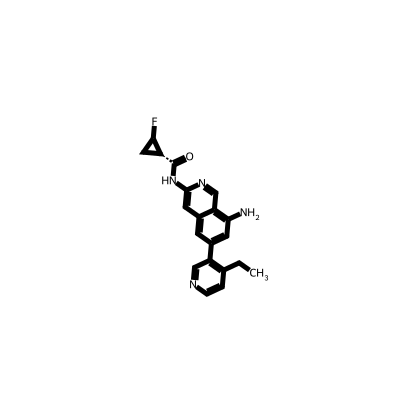 CCc1ccncc1-c1cc(N)c2cnc(NC(=O)[C@@H]3CC3F)cc2c1